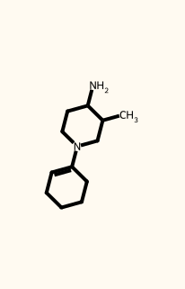 CC1CN(C2=CCCCC2)CCC1N